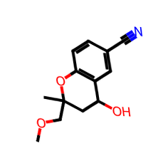 COCC1(C)CC(O)c2cc(C#N)ccc2O1